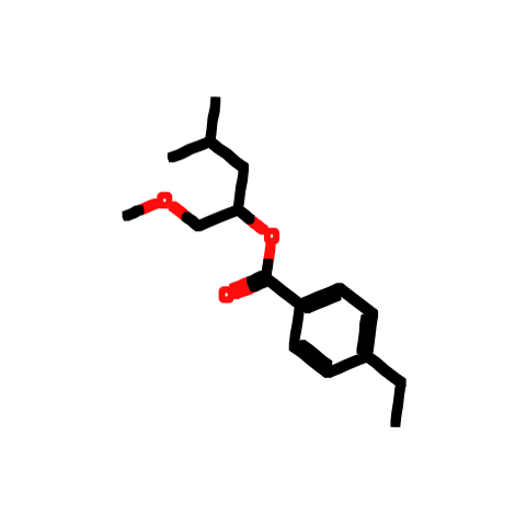 CCc1ccc(C(=O)OC(COC)CC(C)C)cc1